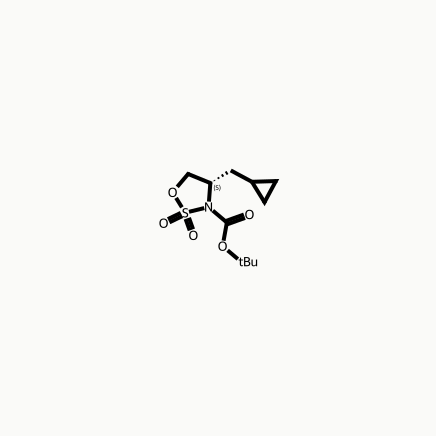 CC(C)(C)OC(=O)N1[C@@H](CC2CC2)COS1(=O)=O